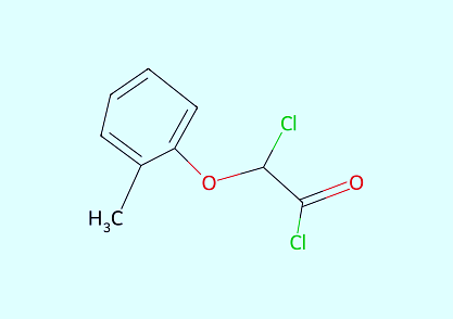 Cc1ccccc1OC(Cl)C(=O)Cl